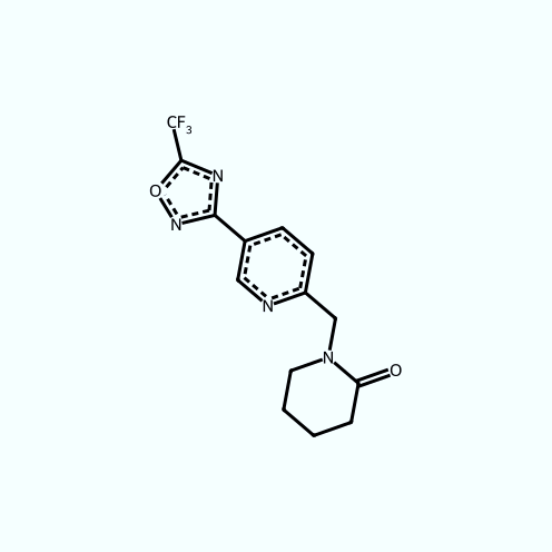 O=C1CCCCN1Cc1ccc(-c2noc(C(F)(F)F)n2)cn1